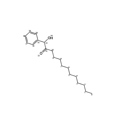 CCCCCCCCCCCC(=O)C(O)c1ccccc1